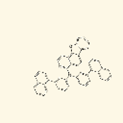 c1cc(-c2cccc3ccccc23)cc(N(c2cccc(-c3cccc4ccccc34)c2)c2nccc3c2ccc2c4ccccc4oc32)c1